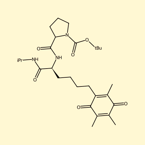 CC1=C(C)C(=O)C(CCCC[C@H](NC(=O)C2CCCN2C(=O)OC(C)(C)C)C(=O)NC(C)C)=C(C)C1=O